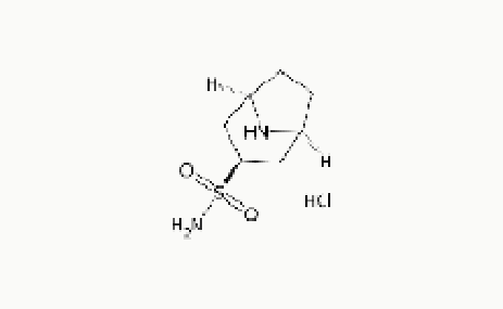 Cl.NS(=O)(=O)[C@H]1C[C@H]2CC[C@@H](C1)N2